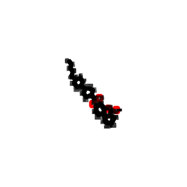 CCCCCC1CCC(C2CCC(C(=O)Oc3ccc(-c4ccccc4C([O])=O)cc3)CC2)CC1